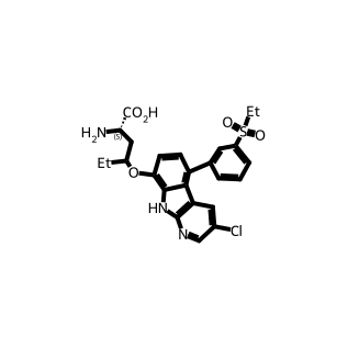 CCC(C[C@H](N)C(=O)O)Oc1ccc(-c2cccc(S(=O)(=O)CC)c2)c2c1[nH]c1ncc(Cl)cc12